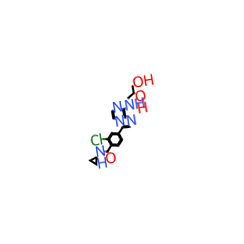 O=C(NC1CC1)c1ccc(-c2cnc3c(NC[C@@H](O)CO)nccn23)cc1Cl